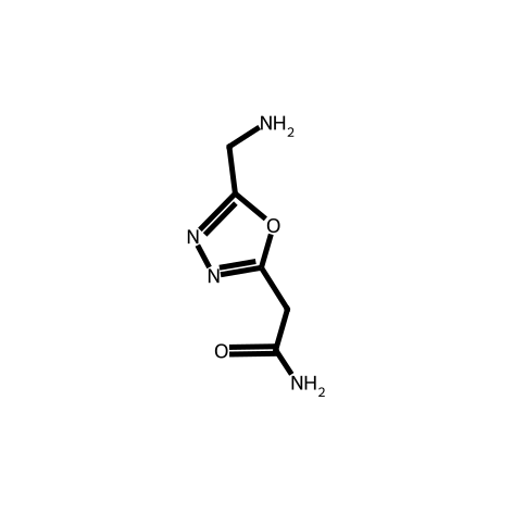 NCc1nnc(CC(N)=O)o1